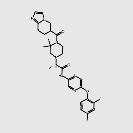 C[C@@H](C(=O)Nc1cnc(Oc2ccc(F)cc2F)cn1)N1CCN(C(=O)C2CCc3nccn3C2)C(C)(C)C1